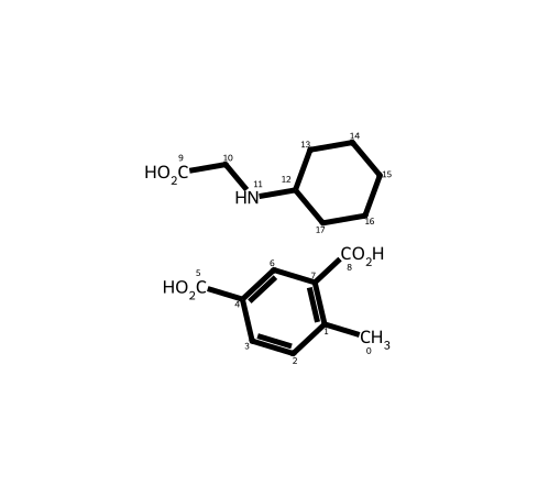 Cc1ccc(C(=O)O)cc1C(=O)O.O=C(O)CNC1CCCCC1